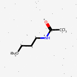 CC(C)COCCCNC(=O)C(Cl)(Cl)Cl